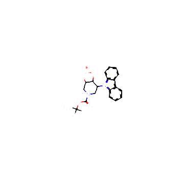 CC(C)(C)OC(=O)N1CC2OS(=O)OC2C(n2c3ccccc3c3ccccc32)C1